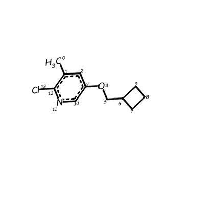 Cc1cc(OCC2CCC2)cnc1Cl